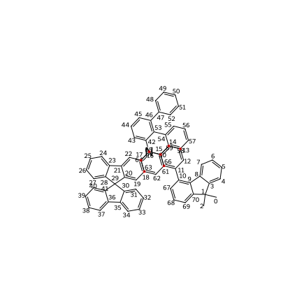 CC1(C)c2ccccc2-c2c(-c3cccc(N(c4ccc5c(c4)-c4ccccc4C54c5ccccc5-c5ccccc54)c4cccc(-c5ccccc5)c4-c4ccccc4-c4ccccc4)c3)cccc21